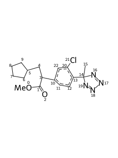 COC(=O)C(CC1CCCC1)c1ccc(C2(C)N=NN=N2)c(Cl)c1